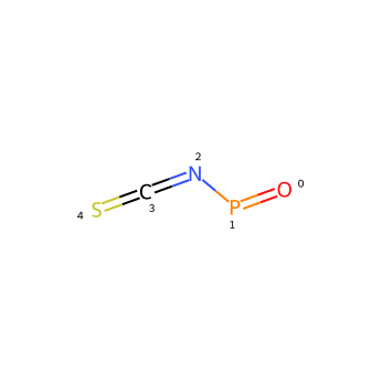 O=PN=C=S